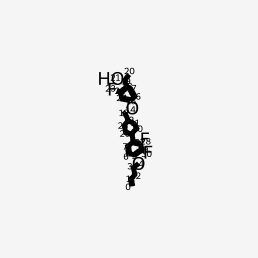 C=CCCOc1ccc(C2CCC(COc3ccc(C(C)O)c(F)c3)CC2)c(F)c1F